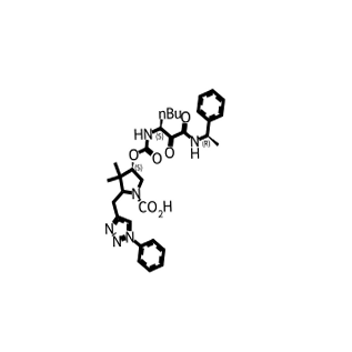 CCCC[C@H](NC(=O)O[C@@H]1CN(C(=O)O)C(Cc2cn(-c3ccccc3)nn2)C1(C)C)C(=O)C(=O)N[C@H](C)c1ccccc1